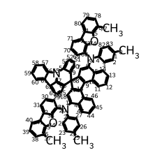 Cc1ccc(N(c2cc3c(c4ccccc24)-c2c(cc(N(c4ccc(C)cc4)c4cccc5c4oc4c(C)cccc45)c4ccccc24)C32c3ccccc3-n3c4ccccc4c4cccc2c43)c2cccc3c2oc2c(C)cccc23)cc1